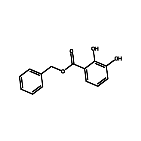 O=C(OCc1ccccc1)c1cccc(O)c1O